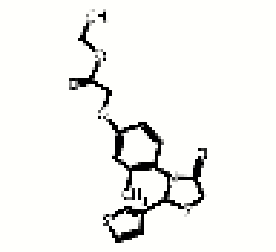 CCOC(=O)COc1ccc(N2C(=O)CSC2c2ccsc2)c(C)c1